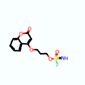 N=S(=O)(F)OCCCOc1cc(=O)oc2ccccc12